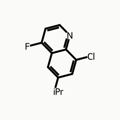 CC(C)c1cc(Cl)c2nccc(F)c2c1